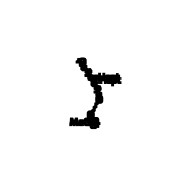 C=C(C)C(=O)Cc1ccc(-c2ccc(-c3ccc4c(c3)C(CCCCCCC)(CCCCCCC)c3cc(-c5ccc(-c6ccc(OCCCCCCCCOc7cc(OC)cc(OC(=O)C(=C)C)c7)cc6)s5)ccc3-4)s2)cc1